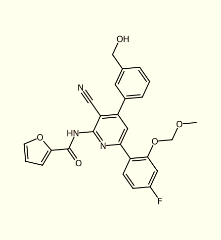 COCOc1cc(F)ccc1-c1cc(-c2cccc(CO)c2)c(C#N)c(NC(=O)c2ccco2)n1